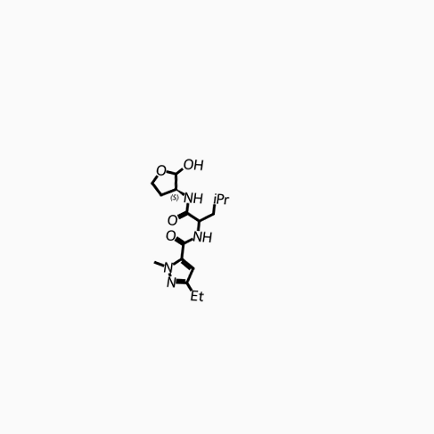 CCc1cc(C(=O)NC(CC(C)C)C(=O)N[C@H]2CCOC2O)n(C)n1